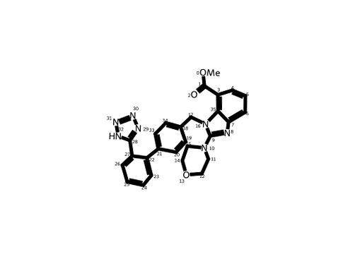 COC(=O)c1cccc2nc(N3CCOCC3)n(Cc3ccc(-c4ccccc4-c4nnn[nH]4)cc3)c12